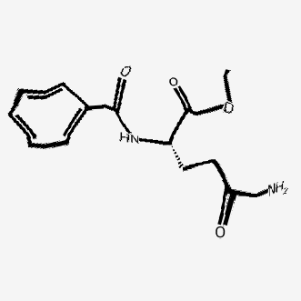 COC(=O)[C@H](CCC(N)=O)NC(=O)c1ccccc1